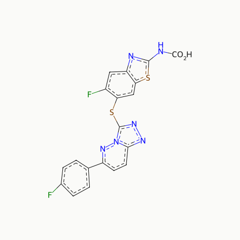 O=C(O)Nc1nc2cc(F)c(Sc3nnc4ccc(-c5ccc(F)cc5)nn34)cc2s1